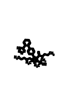 CCCOCC1(C)NC(C(C)(C)O)=C(C(=O)OCCC)N1c1ccc(-c2ccccc2-c2nnn[nH]2)cc1